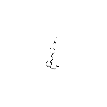 CC(C)(C)OC(=O)N[C@H]1CC[C@@](O)(CCc2cccc3ccc(=O)oc23)CC1